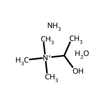 CC(O)[N+](C)(C)C.N.O